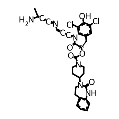 CC(N)=C=C=NC=C=C=NC(=O)[C@@H](Cc1cc(Cl)c(O)c(Cl)c1)OC(=O)N1CCC(N2CCc3ccccc3NC2=O)CC1